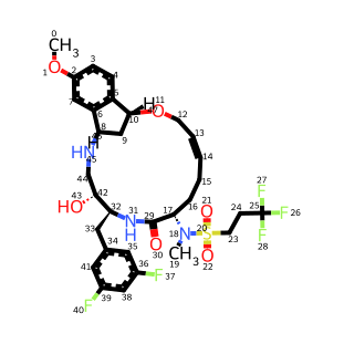 COc1ccc2c(c1)[C@@H]1C[C@H]2OCC=CCC[C@H](N(C)S(=O)(=O)CCC(F)(F)F)C(=O)N[C@@H](Cc2cc(F)cc(F)c2)[C@H](O)CN1